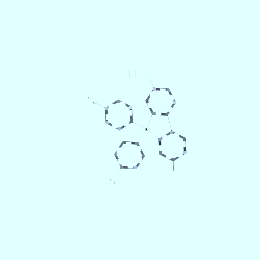 Cc1ccc2c(c1)C(c1ccc(N)cc1)(c1ccc(N)cc1)c1cc(I)ccc1-2